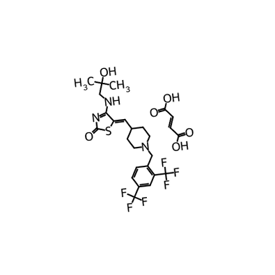 CC(C)(O)CNC1=NC(=O)S/C1=C\C1CCN(Cc2ccc(C(F)(F)F)cc2C(F)(F)F)CC1.O=C(O)/C=C/C(=O)O